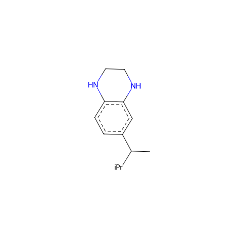 CC(C)C(C)c1ccc2c(c1)NCCN2